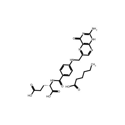 CCCCCC(=O)O.Nc1nc(=O)c2nc(CNc3ccc(C(=O)N[C@@H](CCC(=O)O)C(=O)O)cc3)cnc2[nH]1